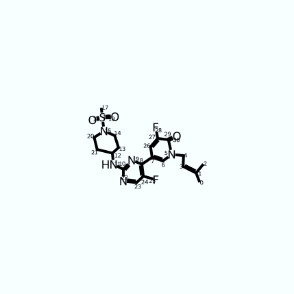 CC(C)=CCn1cc(-c2nc(NC3CCN(S(C)(=O)=O)CC3)ncc2F)cc(F)c1=O